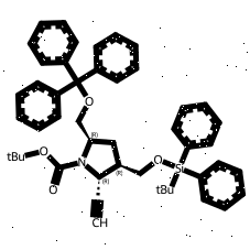 C#C[C@H]1[C@H](CO[Si](c2ccccc2)(c2ccccc2)C(C)(C)C)C[C@H](COC(c2ccccc2)(c2ccccc2)c2ccccc2)N1C(=O)OC(C)(C)C